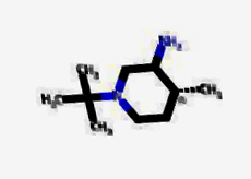 C[C@@H]1CCN(C(C)(C)C)CC1N